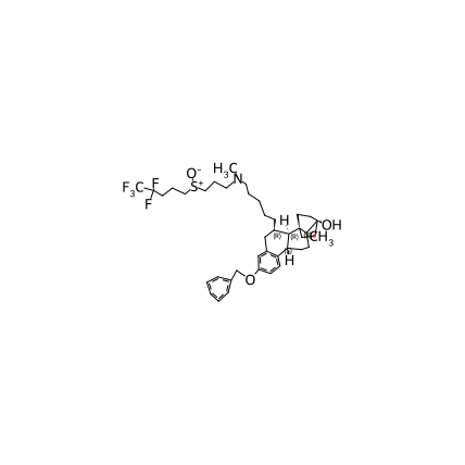 CN(CCCCC[C@@H]1Cc2cc(OCc3ccccc3)ccc2[C@H]2CC[C@]3(C)[C@]4(O)CC[C@@]3(CC4)[C@H]12)CCC[S+]([O-])CCCC(F)(F)C(F)(F)F